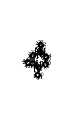 c1ccc(-c2cc(-c3cccc(-c4cccc(-c5nc(-c6ccccc6)nc(-c6ccccc6)n5)c4)c3)nc(-c3ccc4ccccc4c3)n2)cc1